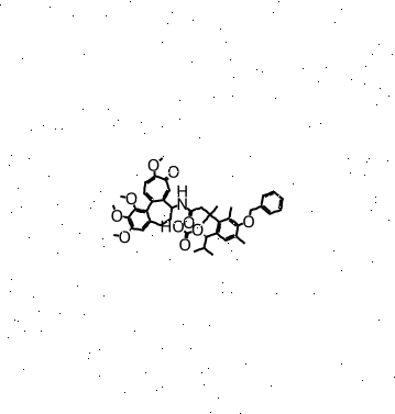 COc1cc2c(c(OC)c1OC)-c1ccc(OC)c(=O)cc1C(NC(=O)CC(C)(C)c1c([C@@H](OC(=O)O)C(C)C)cc(C)c(OCc3ccccc3)c1C)CC2